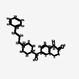 O=C1CCc2cc(C(=O)N3CCN(CCCc4ccccc4)CC3)ccc2N1